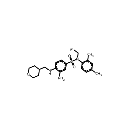 Cc1ccc(N(CC(C)C)S(=O)(=O)c2ccc(NCC3CCOCC3)c(N)c2)c(C)c1